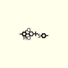 Cc1ccc(SCC(C)(C)C2CC(=O)C(c3c(C)cc(C)cc3C)=C(O)C2)cc1